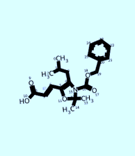 CC(C)CC1=C(/C=C/C(=O)O)OC(C)(C)N1C(=O)OCc1ccccc1